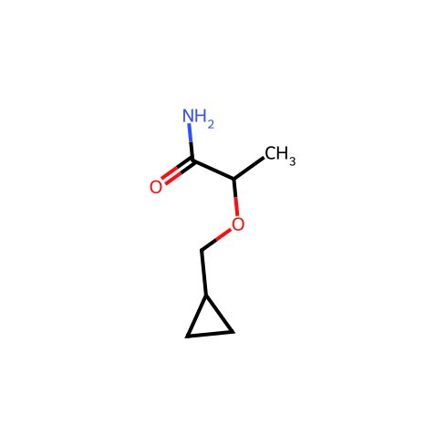 CC(OCC1CC1)C(N)=O